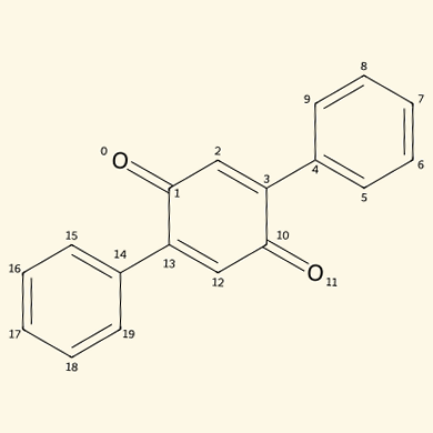 O=C1C=C(c2ccccc2)C(=O)C=C1c1ccccc1